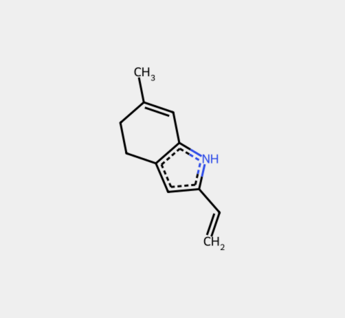 C=Cc1cc2c([nH]1)C=C(C)CC2